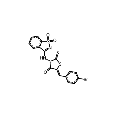 O=C1C(=Cc2ccc(Br)cc2)SC(=S)N1NC1=NS(=O)(=O)c2ccccc21